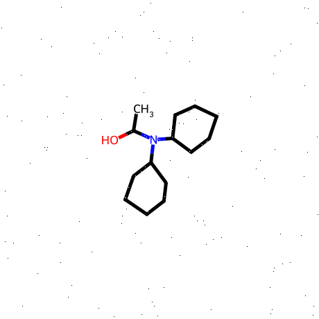 CC(O)N(C1CCCCC1)C1CCCCC1